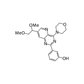 COCC(OC)c1cnc2c(N3CCOCC3)nc(-c3cccc(O)c3)nc2c1